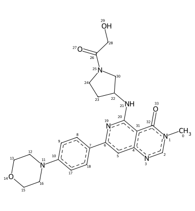 Cn1cnc2cc(-c3ccc(N4CCOCC4)cc3)nc(NC3CCN(C(=O)CO)C3)c2c1=O